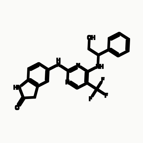 O=C1Cc2cc(Nc3ncc(C(F)(F)F)c(NC(CO)c4ccccc4)n3)ccc2N1